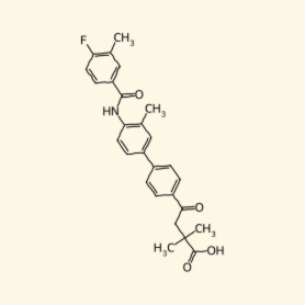 Cc1cc(C(=O)Nc2ccc(-c3ccc(C(=O)CC(C)(C)C(=O)O)cc3)cc2C)ccc1F